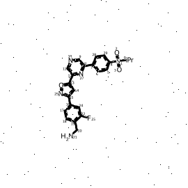 CC(C)S(=O)(=O)c1ccc(-c2cn[c]c(-c3cc(-c4ccc(CN)c(F)c4)no3)n2)cc1